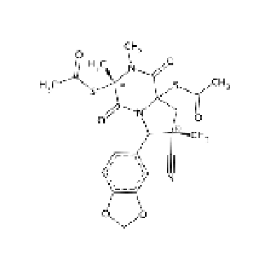 CC(=O)SC12C[C@](C)(C#N)C(c3ccc4c(c3)OCO4)N1C(=O)[C@](C)(SC(C)=O)N(C)C2=O